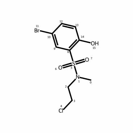 CN(CCCl)S(=O)(=O)c1cc(Br)ccc1O